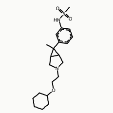 CC1(c2cccc(NS(C)(=O)=O)c2)C2CN(CCOC3CCCCC3)CC21